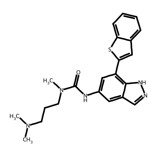 CN(C)CCCN(C)C(=O)Nc1cc(-c2cc3ccccc3s2)c2[nH]ncc2c1